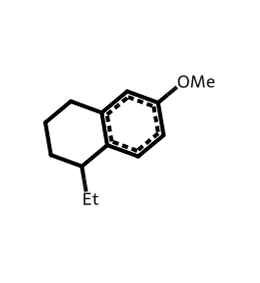 CCC1CCCc2cc(OC)ccc21